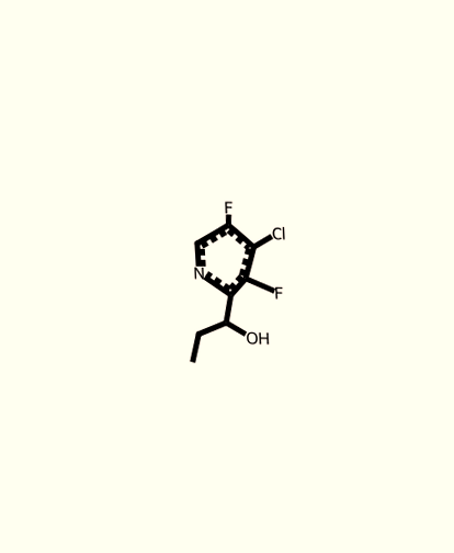 CCC(O)c1ncc(F)c(Cl)c1F